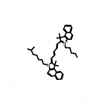 CCCCC[N+]1=C(/C=C/C=C/C=C2/N(CCCCCC(C)C)c3ccc4ccccc4c3C2(C)C)C(C)(C)c2c1ccc1ccccc21